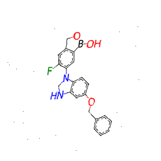 OB1OCc2cc(F)c(N3CNc4cc(OCc5ccccc5)ccc43)cc21